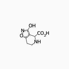 O=C(O)C1NCCc2onc(O)c21